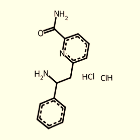 Cl.Cl.NC(=O)c1cccc(CC(N)c2ccccc2)n1